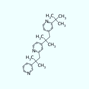 CC(C)(C)c1cc(CC(C)(C)c2ccnc(CC(C)(C)c3cccnc3)c2)ccn1